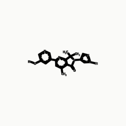 CCOc1cncc(-c2cc(C)c3c(n2)C(C)(C)N(c2cnn(CC)c2)C3=O)c1